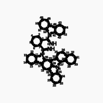 N=C(c1ccccc1C(=N)n1c2ccccc2c2cc3c4ccccc4n4c5c6ccccc6ccc5c(c21)c34)n1c2ccccc2c2ccccc21